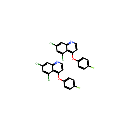 Fc1ccc(Oc2ccnc3cc(Cl)cc(Cl)c23)cc1.Fc1ccc(Oc2ccnc3cc(Cl)cc(Cl)c23)cc1